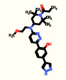 CCC(=O)N1C(C)(C)CC(N(CCOC)c2ccc(-c3ccc(-c4cn[nH]c4)cc3O)nn2)CC1(C)C